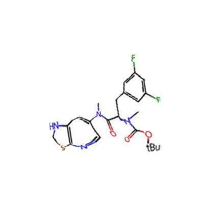 CN(C(=O)C(Cc1cc(F)cc(F)c1)N(C)C(=O)OC(C)(C)C)c1cnc2c(c1)NCS2